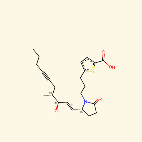 CCCC#CC[C@@H](C)[C@H](O)/C=C/[C@H]1CCC(=O)N1CCCc1ccc(C(=O)O)s1